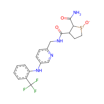 NC(=O)C1[C](C(=O)NCc2ccc(Nc3ccccc3C(F)(F)F)cn2)CC[S+]1[O-]